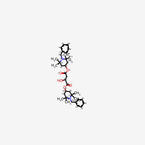 CC1(C)CC(OC(=O)CC(O)C(=O)OC2CC(C)(C)N(Cc3ccccc3)C(C)(C)C2)CC(C)(C)N1Cc1ccccc1